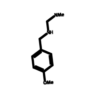 CNCNCc1ccc(OC)cc1